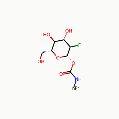 CCCNC(=O)O[C@@H]1O[C@H](CO)[C@@H](O)[C@H](O)[C@H]1F